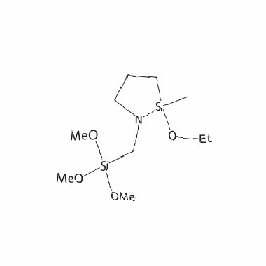 CCO[Si]1(C)CCCN1C[Si](OC)(OC)OC